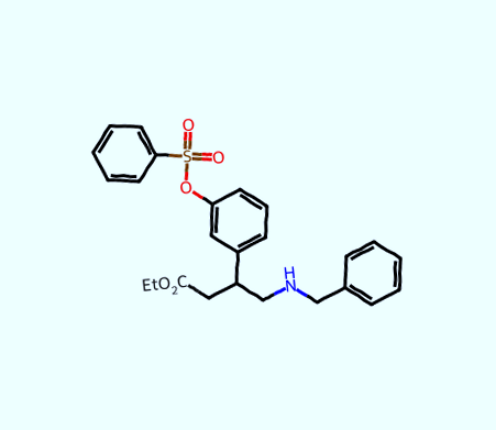 CCOC(=O)CC(CNCc1ccccc1)c1cccc(OS(=O)(=O)c2ccccc2)c1